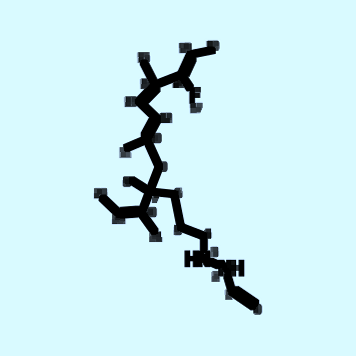 C=CNNCCCC(C)(C/C(C)=C/C=C(C)\C(F)=C\C)/C(C)=C\C